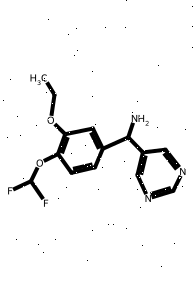 CCOc1cc(C(N)c2cncnc2)ccc1OC(F)F